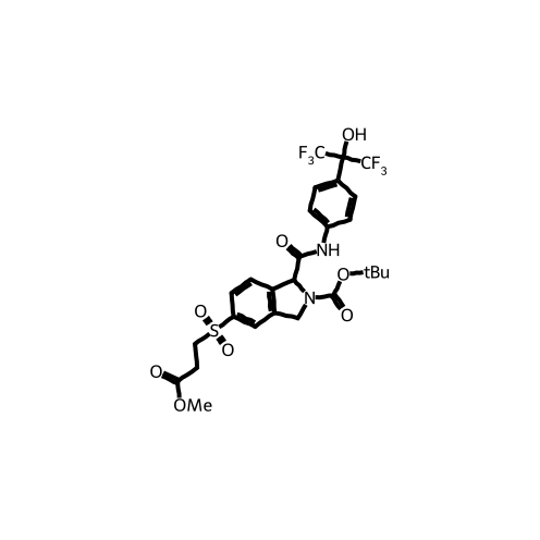 COC(=O)CCS(=O)(=O)c1ccc2c(c1)CN(C(=O)OC(C)(C)C)C2C(=O)Nc1ccc(C(O)(C(F)(F)F)C(F)(F)F)cc1